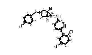 Fc1ccc(CN2C[C@@H]3[C@H](C2)[C@H]3Nc2ccc(-c3cc(F)ccc3Cl)nn2)cc1